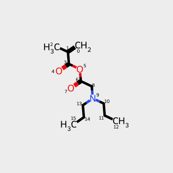 C=C(C)C(=O)OC(=O)CN(CCC)CCC